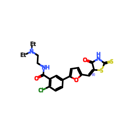 CCN(CC)CCNC(=O)c1cc(-c2ccc(/C=C3/SC(=S)NC3=O)o2)ccc1Cl